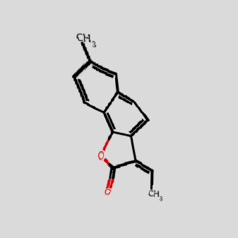 CC=C1C(=O)Oc2c1ccc1cc(C)ccc21